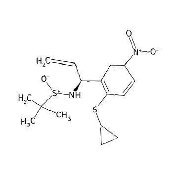 C=C[C@H](N[S+]([O-])C(C)(C)C)c1cc([N+](=O)[O-])ccc1SC1CC1